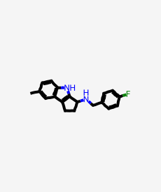 Cc1ccc2[nH]c3c(c2c1)CCC3NCc1ccc(F)cc1